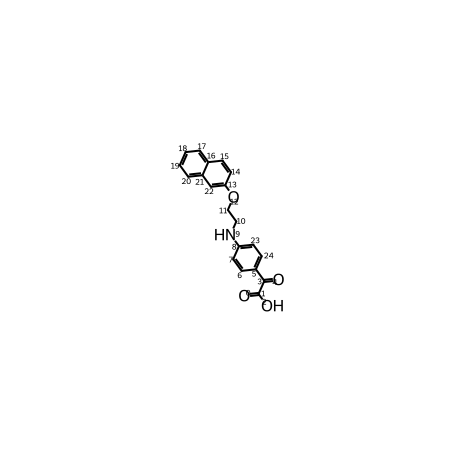 O=C(O)C(=O)c1ccc(NCCOc2ccc3ccccc3c2)cc1